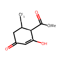 COC(=O)C1C(O)=CC(=O)CC1C(F)(F)F